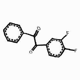 O=C(C(=O)c1ccc(F)c(F)c1)c1ccccc1